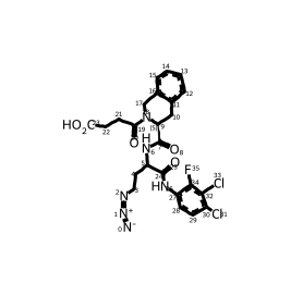 [N-]=[N+]=NCCC(NC(=O)[C@@H]1Cc2ccccc2CN1C(=O)CCC(=O)O)C(=O)Nc1ccc(Cl)c(Cl)c1F